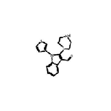 O=Cc1c(N2CCNCC2)n(-c2ccsc2)c2ccccc12